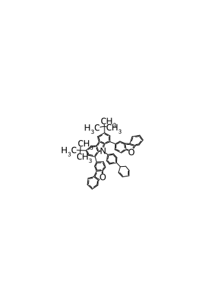 CC(C)(C)c1cc(-c2ccc3oc4ccccc4c3c2)c2c(c1)c1cc(C(C)(C)C)cc(-c3ccc4oc5ccccc5c4c3)c1n2-c1ccc(C2C=CC=CC2)cc1